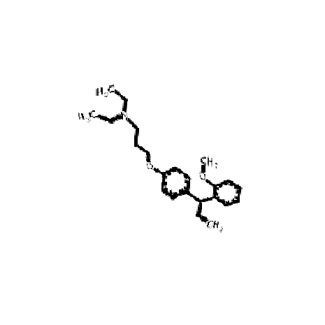 CC[C](c1ccc(OCCCN(CC)CC)cc1)c1ccccc1OC